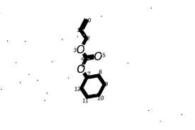 C=CCOC(=O)OC1CCCCC1